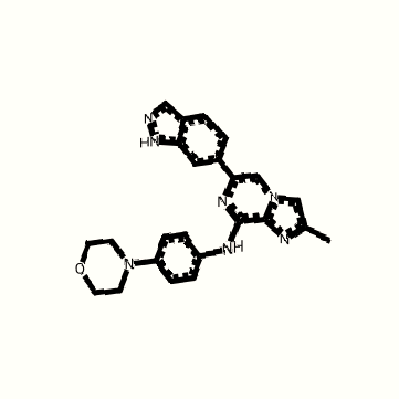 Cc1cn2cc(-c3ccc4cn[nH]c4c3)nc(Nc3ccc(N4CCOCC4)cc3)c2n1